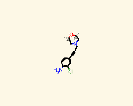 C[C@@H]1CN(CC#Cc2ccc(N)c(Cl)c2)C[C@H](C)O1